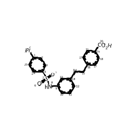 CC(C)c1ccc(S(=O)(=O)Nc2cccc(CCc3ccc(C(=O)O)cc3)c2)cc1